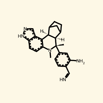 CN1c2ccc3[nH]ncc3c2[C@H]2C3CCC(C3)[C@H]2[C@]1(C)c1ccc(C=N)c(N)c1